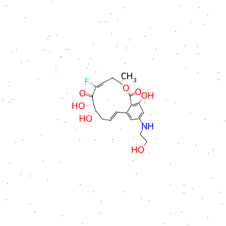 C[C@H]1C/C=C(/F)C(=O)[C@@H](O)[C@@H](O)C/C=C/c2cc(NCCO)cc(O)c2C(=O)O1